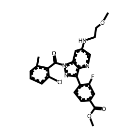 COCCNc1cnc2c(-c3ccc(C(=O)OC)cc3F)nn(C(=O)c3c(C)cccc3Cl)c2c1